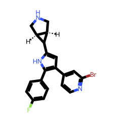 Fc1ccc(-c2[nH]c(C3[C@H]4CNC[C@@H]34)cc2-c2ccnc(Br)c2)cc1